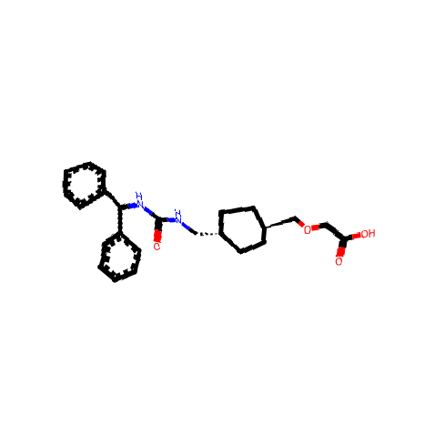 O=C(O)COC[C@H]1CC[C@H](CNC(=O)NC(c2ccccc2)c2ccccc2)CC1